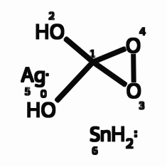 OC1(O)OO1.[Ag].[SnH2]